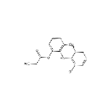 CC(=O)OCC(=O)Oc1cccc(C(C)(C)C)c1Nc1c(Cl)cccc1Cl